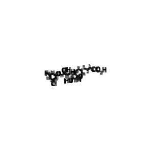 O=C(O)CCC[C@H]1CC[C@@H]2[C@@H](/C=C/C(O)COc3cc(F)cc(Cl)c3)[C@H](O)C[C@@H]2OC1